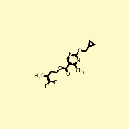 CC(CCOC(=O)c1cnc(OCC2CC2)nc1C)=C(F)F